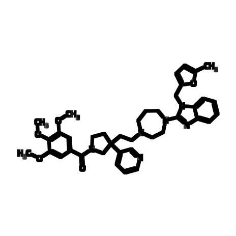 COc1cc(C(=O)N2CCC(CCN3CCCN(c4nc5ccccc5n4Cc4ccc(C)o4)CC3)(c3cccnc3)C2)cc(OC)c1OC